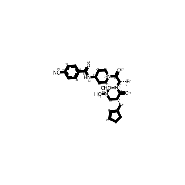 CC(C)[C@H](NC(=O)[C@H](CC1CCCC1)CN(O)C=O)C(=O)N1CCC(NC(=O)c2ccc(C#N)cc2)CC1